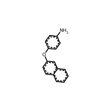 Nc1ccc(Oc2ccc3ccccc3c2)cc1